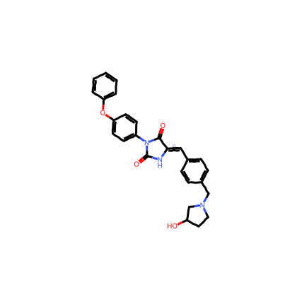 O=C1N/C(=C\c2ccc(CN3CCC(O)C3)cc2)C(=O)N1c1ccc(Oc2ccccc2)cc1